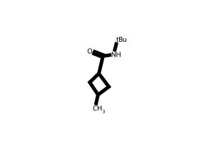 CC1CC(C(=O)NC(C)(C)C)C1